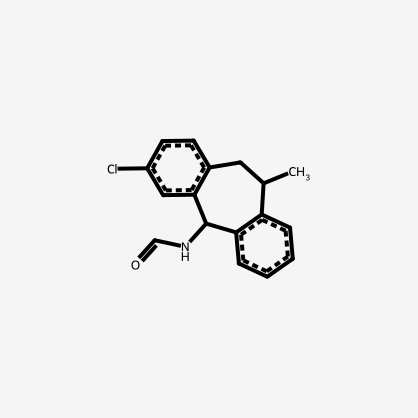 CC1Cc2ccc(Cl)cc2C(NC=O)c2ccccc21